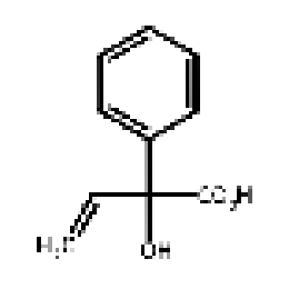 C=CC(O)(C(=O)O)c1ccccc1